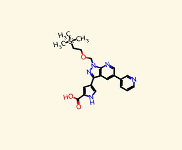 C[Si](C)(C)CCOCn1nc(-c2c[nH]c(C(=O)O)c2)c2cc(-c3cccnc3)cnc21